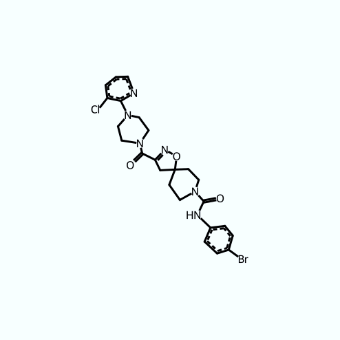 O=C(Nc1ccc(Br)cc1)N1CCC2(CC1)CC(C(=O)N1CCN(c3ncccc3Cl)CC1)=NO2